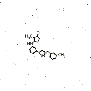 CC1=C(Nc2cccc(-c3cn(Cc4cccc(C)c4)nn3)c2)CCC1=O